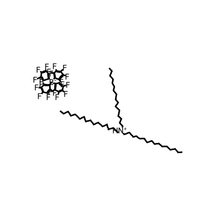 CCCCCCCCCCCCCCCC[NH+](CCCCCCCCCCCCCCCC)CCCCCCCCCCCCCCCC.Fc1c(F)c(F)c([B-](c2c(F)c(F)c(F)c(F)c2F)(c2c(F)c(F)c(F)c(F)c2F)c2c(F)c(F)c(F)c(F)c2F)c(F)c1F